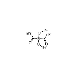 CCCC(=O)[Si](OC(C)C)(OC(C)C)C(=O)CCC